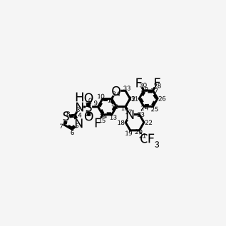 O=S(=O)(Nc1nccs1)c1cc2c(cc1F)C(N1CC[C@@H](C(F)(F)F)C[C@H]1c1ccc(F)c(F)c1)CCO2